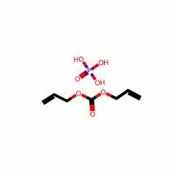 C=CCOC(=O)OCC=C.O=P(O)(O)O